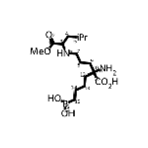 COC(=O)C(CC(C)C)NCCCC(N)(CCCCB(O)O)C(=O)O